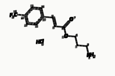 Cl.NCCCOC(=O)/C=C/c1ccc(C(F)(F)F)cc1